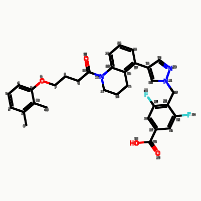 Cc1cccc(OCCCC(=O)N2CCCc3c(-c4cnn(Cc5c(F)cc(C(=O)O)cc5F)c4)cccc32)c1C